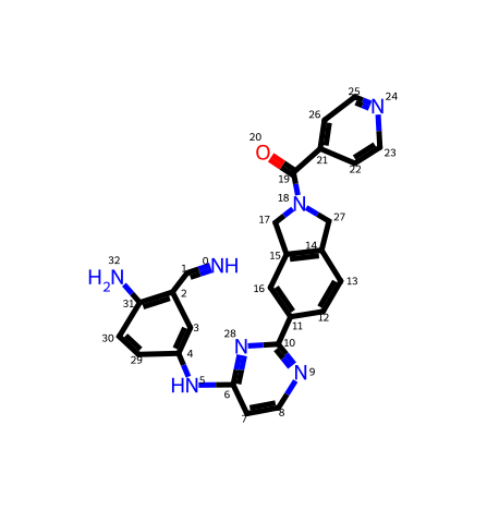 N=Cc1cc(Nc2ccnc(-c3ccc4c(c3)CN(C(=O)c3ccncc3)C4)n2)ccc1N